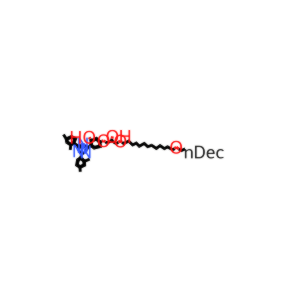 CCCCCCCCCCCCOCCCCCCCCCCCCCOCC(O)COc1ccc(-c2nc(-c3ccc(C)cc3C)nc(-c3ccc(C)cc3C)n2)c(O)c1